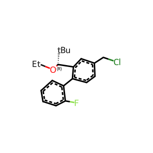 CCO[C@@H](c1cc(CCl)ccc1-c1ccccc1F)C(C)(C)C